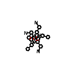 N#Cc1cccc(-c2ccc(-c3nc(-c4ccccc4-c4ccccc4C#N)nc(-c4ccc(-c5cccc(C#N)c5)cc4-n4c5ccccc5c5cc(-c6ccccc6)ccc54)n3)c(-n3c4ccccc4c4cc(-c5ccccc5)ccc43)c2)c1